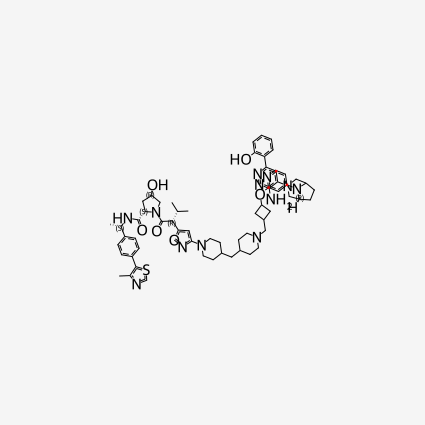 Cc1ncsc1-c1ccc([C@H](C)NC(=O)[C@@H]2C[C@@H](O)CN2C(=O)[C@@H](c2cc(N3CCC(CC4CCN(CC5CC(Oc6cc(N7C8CC[C@@H]7CN(c7cc(-c9ccccc9O)nnc7N)C8)ccn6)C5)CC4)CC3)no2)C(C)C)cc1